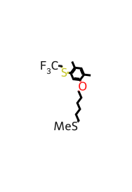 CSCCCCCCOc1cc(SCC(F)(F)F)c(C)cc1C